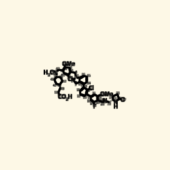 COc1cc(Cn2ncc3c(-c4cccc(-c5cc(F)c(CNC[C@@H]6CCC(=O)N6)c(OC)c5)c4Cl)cccc32)c(Cl)cc1CN(C)[C@H]1CC[C@H](CCC(=O)O)CC1